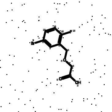 O=C(O)COCc1cc(Br)ccc1F